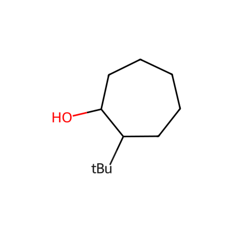 CC(C)(C)C1CCCCCC1O